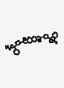 C=C(C1=CC=C(C2=Nc3cc4cc5c(cc4cc3C2)N=C(C2=CC=C(C(=C)c3ccccc3)C2)C5)C1)c1ccccc1